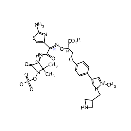 C[n+]1cc(-c2ccc(OC[C@H](O/N=C(\C(=O)N[C@@H]3C(=O)N(OS(=O)(=O)[O-])C3(C)C)c3csc(N)n3)C(=O)O)cc2)cn1CC1CNC1